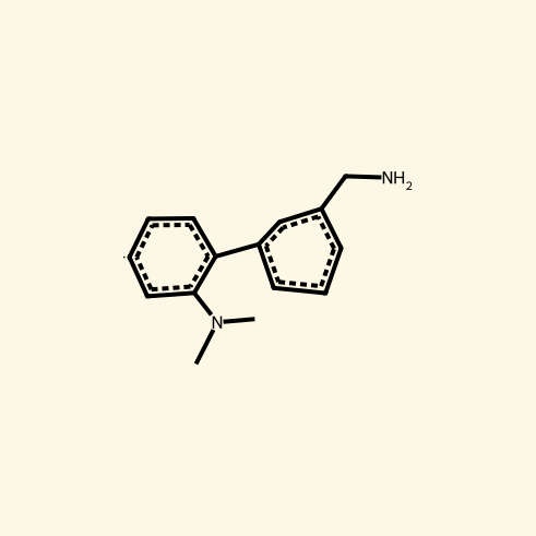 CN(C)c1c[c]ccc1-c1cccc(CN)c1